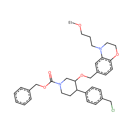 CCOCCCN1CCOc2ccc(COC3CN(C(=O)OCc4ccccc4)CCC3c3ccc(CCl)cc3)cc21